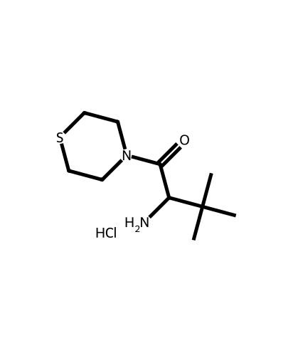 CC(C)(C)C(N)C(=O)N1CCSCC1.Cl